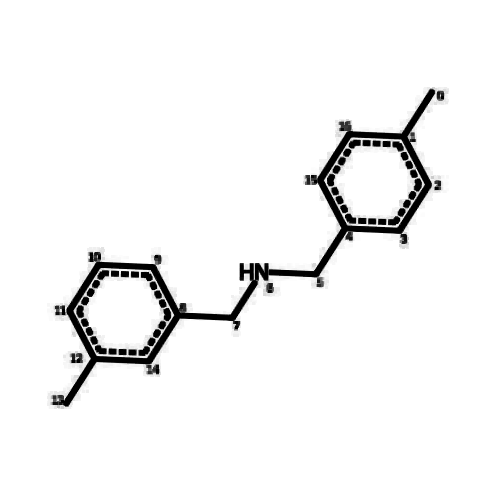 Cc1ccc(CNCc2cccc(C)c2)cc1